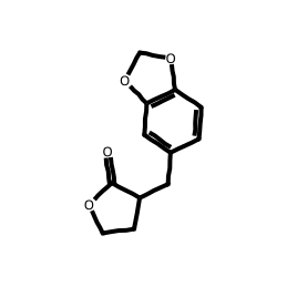 O=C1OCCC1Cc1ccc2c(c1)OCO2